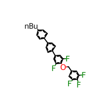 CCCCc1ccc(-c2ccc(-c3cc(F)c(OCc4cc(F)c(F)c(F)c4)c(F)c3)cc2)cc1